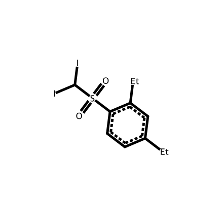 CCc1ccc(S(=O)(=O)C(I)I)c(CC)c1